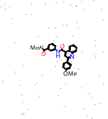 CNC(=O)c1cccc(NC(=O)c2cc(-c3ccc(OC)cc3)nc3ccccc23)c1